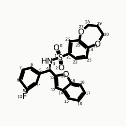 O=S(=O)(N[C@H](c1cccc(F)c1)c1cc2ccccc2o1)c1ccc2c(c1)OCCCO2